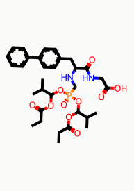 CCC(=O)OC(OP(=O)(CNC(Cc1ccc(-c2ccccc2)cc1)C(=O)NCC(=O)O)OC(OC(=O)CC)C(C)C)C(C)C